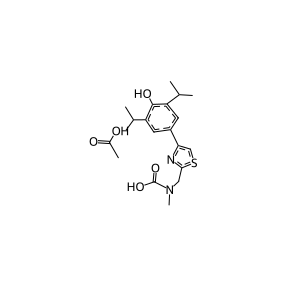 CC(=O)O.CC(C)c1cc(-c2csc(CN(C)C(=O)O)n2)cc(C(C)C)c1O